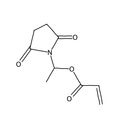 C=CC(=O)OC(C)N1C(=O)CCC1=O